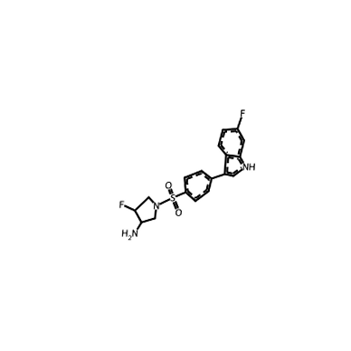 NC1CN(S(=O)(=O)c2ccc(-c3c[nH]c4cc(F)ccc34)cc2)CC1F